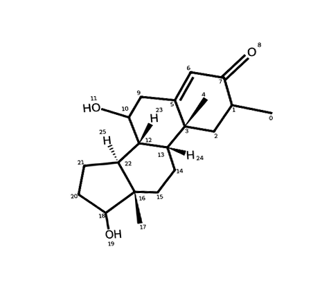 CC1C[C@@]2(C)C(=CC1=O)CC(O)[C@@H]1[C@H]2CC[C@]2(C)C(O)CC[C@@H]12